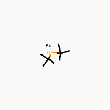 CC(C)(C)PC(C)(C)C.[Pd]